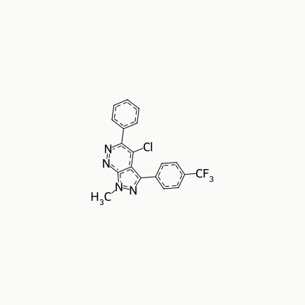 Cn1nc(-c2ccc(C(F)(F)F)cc2)c2c(Cl)c(-c3ccccc3)nnc21